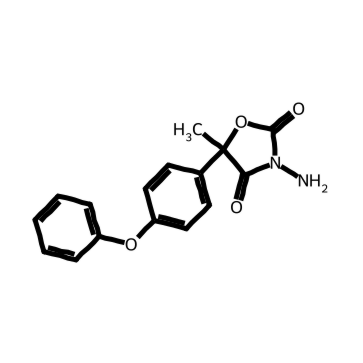 CC1(c2ccc(Oc3ccccc3)cc2)OC(=O)N(N)C1=O